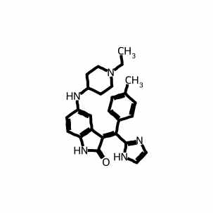 CCN1CCC(Nc2ccc3c(c2)/C(=C(\c2ccc(C)cc2)c2ncc[nH]2)C(=O)N3)CC1